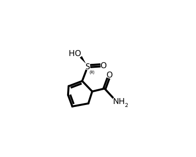 NC(=O)C1CC=CC=C1[S@](=O)O